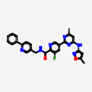 Cc1cc(Nc2cc(C)on2)nc(-c2cnc(C(=O)NCc3ccc(-c4ccccc4)nc3)c(F)c2)n1